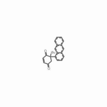 CCC(C)C1(c2cccc3cc4ccccc4cc23)CC(=O)C=CC1=O